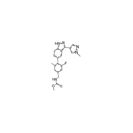 COC(=O)NCc1cc(C)c(-c2cc3c(-c4cnn(C)c4)n[nH]c3cn2)c(F)c1